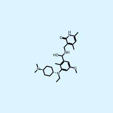 CCN(c1cc(OC)cc(C(O)NCc2c(C)cc(C)[nH]c2=O)c1C)[C@H]1CC[C@H](N(C)C)CC1